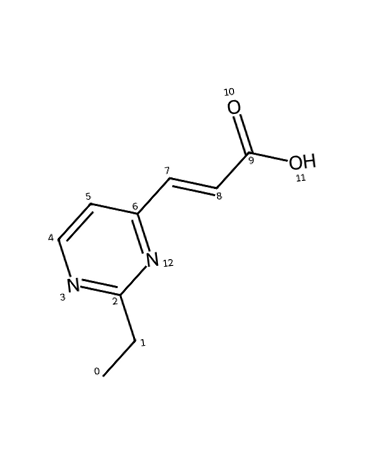 CCc1nccc(C=CC(=O)O)n1